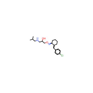 CC(C)CNCC(O)CO/N=C1\CCCC\C1=C/c1ccc(Cl)cc1